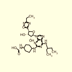 CCc1noc([C@H]2O[C@@H](n3cnc4c(NC(CC)CC)nc(NC5CCC(N)CC5)nc43)[C@H](O)[C@@H]2O)n1.O=CO